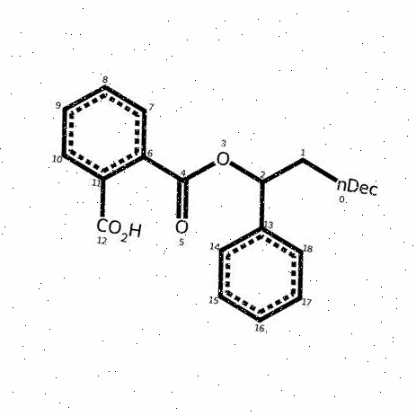 CCCCCCCCCCCC(OC(=O)c1ccccc1C(=O)O)c1ccccc1